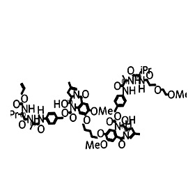 C=CCOC(=O)N[C@@H](C(=O)N[C@H](C)C(=O)Nc1ccc(COC(=O)N2c3cc(OCCCCCOc4cc5c(cc4OC)C(=O)N4C=C(C)C[C@H]4[C@H](O)N5C(=O)OCc4ccc(NC(=O)[C@@H](C)NC(=O)[C@H](NC(=O)CCOCCOC)C(C)C)cc4)c(OC)cc3C(=O)N3C=C(C)CC3[C@@H]2O)cc1)C(C)C